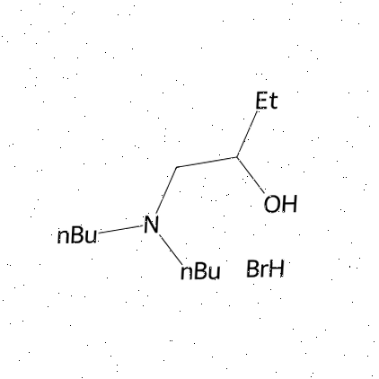 Br.CCCCN(CCCC)CC(O)CC